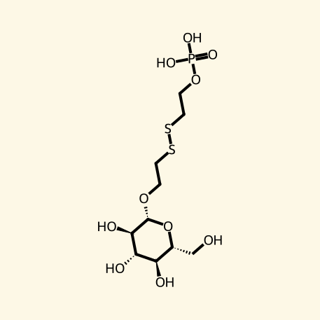 O=P(O)(O)OCCSSCCO[C@@H]1O[C@H](CO)[C@@H](O)[C@H](O)[C@H]1O